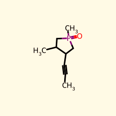 CC#CC1CP(C)(=O)CC1C